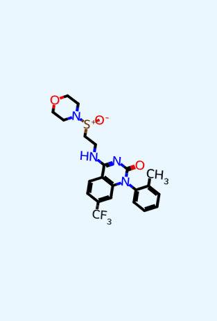 Cc1ccccc1-n1c(=O)nc(NCC[S+]([O-])N2CCOCC2)c2ccc(C(F)(F)F)cc21